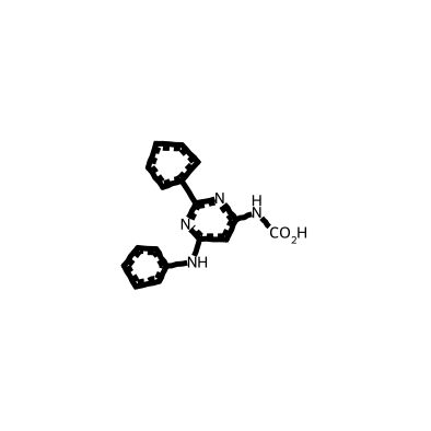 O=C(O)Nc1cc(Nc2ccccc2)nc(-c2ccccc2)n1